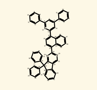 c1ccc(-c2cc(-c3ccccc3)nc(-c3ccc(-c4ncc5c(n4)C(c4ccccc4)(c4ccccc4)c4ccccc4-5)c4ccccc34)c2)cc1